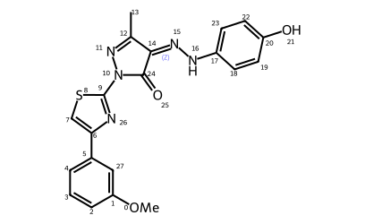 COc1cccc(-c2csc(N3N=C(C)/C(=N/Nc4ccc(O)cc4)C3=O)n2)c1